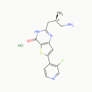 C[C@@H](CN)Cc1nc2cc(-c3ccncc3F)sc2c(=O)[nH]1.Cl